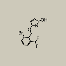 On1ccc(OCc2c(Br)cccc2C(F)F)n1